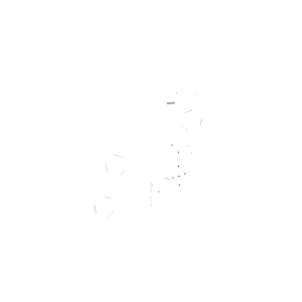 O=C(Nc1nnc(NCCC(c2ccccc2)c2ccccc2)s1)c1ccc2c(c1)C(=O)OC2=O